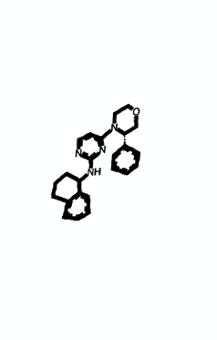 c1ccc([C@H]2COCCN2c2ccnc(NC3CCCc4ccccc43)n2)cc1